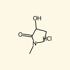 CN1CCC(O)C1=O.Cl